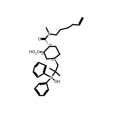 C=CCCCCN(C)C(=O)[C@@H]1CC[C@@H](CC(C)(C)[Si](O)(c2ccccc2)c2ccccc2)C[C@H]1C(=O)O